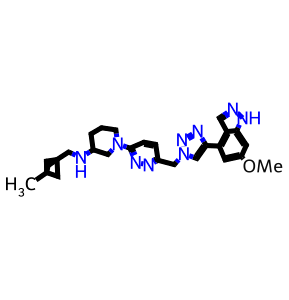 COc1cc(-c2cn(Cc3ccc(N4CCCC(NCC56CC(C)(C5)C6)C4)nn3)nn2)c2cn[nH]c2c1